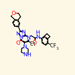 CCc1c(N2CCNCC2)c(=O)n2nc(-c3ccc4c(c3)CCOC4)nc2n1CC(=O)Nc1ccc(C(F)(F)F)c2c1CC2